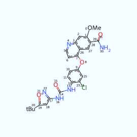 COc1cc2nccc(Oc3ccc(NC(=O)Nc4cc(C(C)(C)C)on4)c(Cl)c3)c2cc1C(N)=O